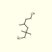 CC(CCC#N)CC(C)(C)CC#N